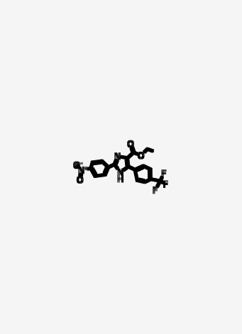 CCOC(=O)c1nc(-c2ccc([N+](=O)[O-])cc2)[nH]c1-c1ccc(C(F)(F)F)cc1